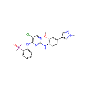 COc1cc(-c2cnn(C)c2)ccc1Nc1ncc(Cl)c(Nc2ccccc2P(C)(C)=O)n1